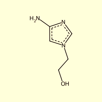 Nc1cn(CCO)cn1